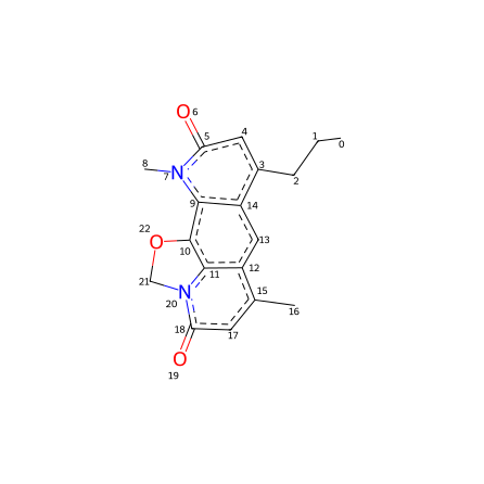 CCCc1cc(=O)n(C)c2c3c4c(cc12)c(C)cc(=O)n4CO3